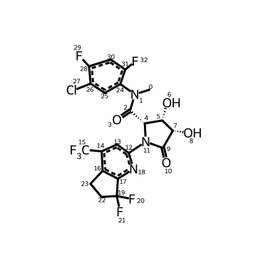 CN(C(=O)[C@@H]1[C@H](O)[C@H](O)C(=O)N1c1cc(C(F)(F)F)c2c(n1)C(F)(F)CC2)c1cc(Cl)c(F)cc1F